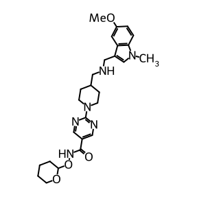 COc1ccc2c(c1)c(CNCC1CCN(c3ncc(C(=O)NOC4CCCCO4)cn3)CC1)cn2C